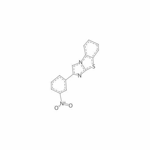 O=[N+]([O-])c1cccc(-c2cn3c(n2)sc2ccccc23)c1